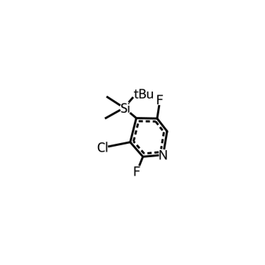 CC(C)(C)[Si](C)(C)c1c(F)cnc(F)c1Cl